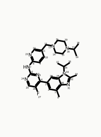 Cc1cc(-c2nc(Nc3ccc(CN4CCN(C(C)C)CC4)cn3)ncc2F)cc2c1nc(C)n2C(C)C